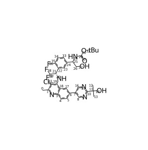 Cc1nc2ccc(-c3cnc(C(C)(C)O)nc3)cc2c(N[C@@H](c2cc(C(CO)NC(=O)OC(C)(C)C)ccc2F)C(F)F)c1Cl